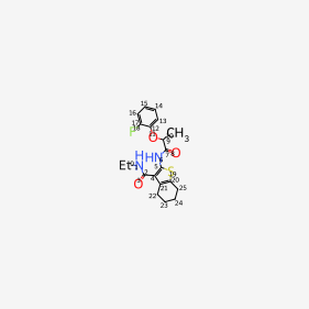 CCNC(=O)c1c(NC(=O)C(C)Oc2ccccc2F)sc2c1CCCC2